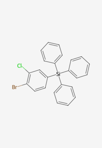 Clc1cc([Si](c2ccccc2)(c2ccccc2)c2ccccc2)ccc1Br